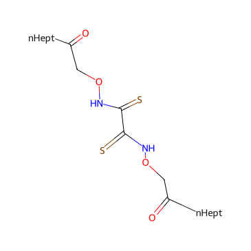 CCCCCCCC(=O)CONC(=S)C(=S)NOCC(=O)CCCCCCC